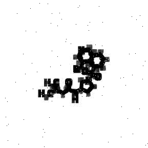 CN(C)CC(=O)NC1CCN(S(=O)(=O)c2cccc3cncc(Br)c23)C1